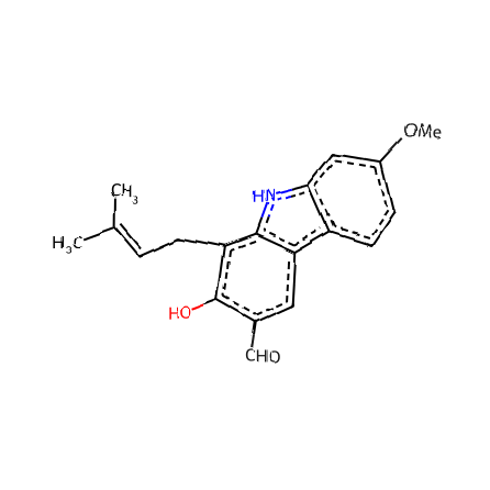 COc1ccc2c(c1)[nH]c1c(CC=C(C)C)c(O)c(C=O)cc12